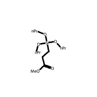 CCCO[Si](CCC(=O)OC)(OCCC)OCCC